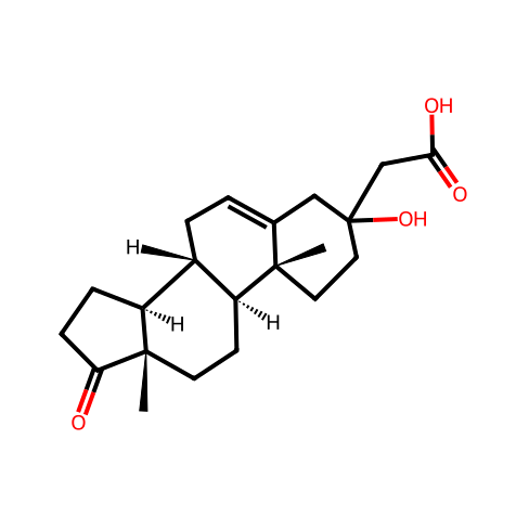 C[C@]12CCC(O)(CC(=O)O)CC1=CC[C@@H]1[C@@H]2CC[C@]2(C)C(=O)CC[C@@H]12